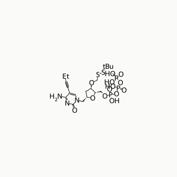 CCC#Cc1cn(C[C@H]2C[C@@H](OCSSC(C)(C)C)[C@@H](COP(=O)(O)OP(=O)(O)OP(=O)(O)O)O2)c(=O)nc1N